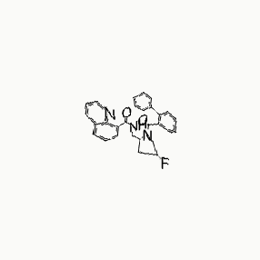 O=C(NCC1CC[C@@H](F)CN1C(=O)c1ccccc1-c1ccccc1)c1cccc2cccnc12